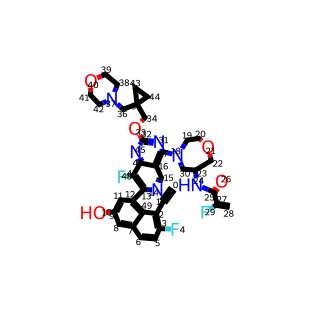 C#Cc1c(F)ccc2cc(O)cc(-c3ncc4c(N5CCOCC(NC(=O)C(=C)F)C5)nc(OCC5(CN6CCOCC6)CC5)nc4c3F)c12